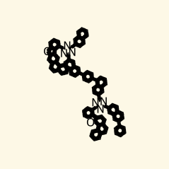 c1ccc(-c2ccc3ccc(-c4nc(-c5ccc6c(-c7ccc(-c8ccc9ccc(-c%10nc(-c%11ccc%12ccccc%12c%11)nc(-c%11cccc%12oc%13cc%14ccc%15ccccc%15c%14cc%13c%11%12)n%10)cc9c8)cc7)cccc6c5)nc(-c5cccc6oc7c(ccc8ccc9ccccc9c87)c56)n4)cc3c2)cc1